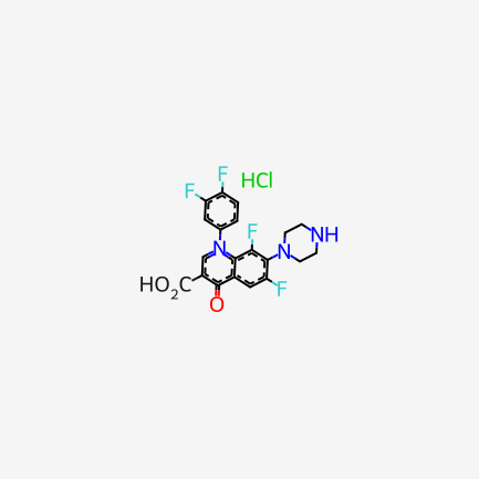 Cl.O=C(O)c1cn(-c2ccc(F)c(F)c2)c2c(F)c(N3CCNCC3)c(F)cc2c1=O